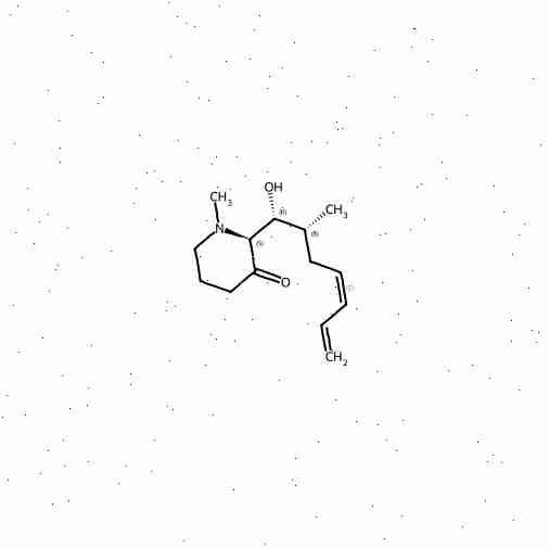 C=C/C=C\C[C@@H](C)[C@@H](O)[C@H]1C(=O)CCCN1C